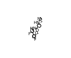 COc1cc(F)ccc1-c1cc(NC(=O)C2CCC[C@@H](Nc3nccs3)C2)ncc1F